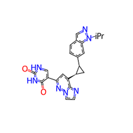 CC(C)n1ncc2ccc(C3C[C@H]3c3cc(-c4c[nH]c(=O)[nH]c4=O)nn4ccnc34)cc21